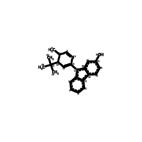 CC1C=NC(n2c3ccccc3c3ccc(O)cc32)=CC1C(C)(C)C